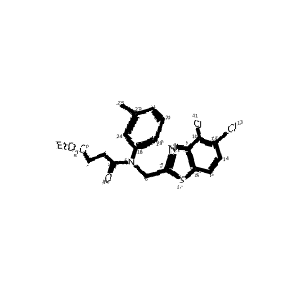 CCOC(=O)CCC(=O)N(Cc1nc2c(Cl)c(Cl)ccc2s1)c1cccc(C)c1